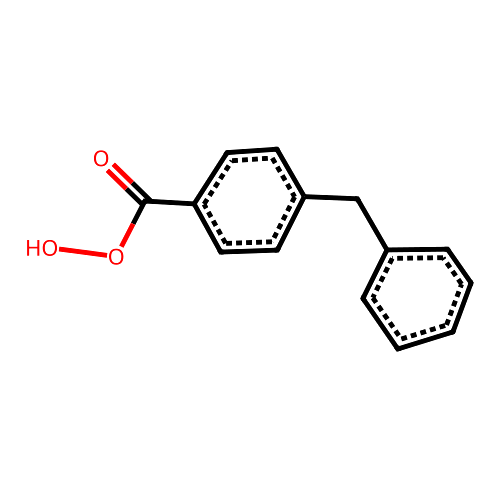 O=C(OO)c1ccc(Cc2ccccc2)cc1